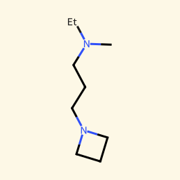 CCN(C)CCCN1CCC1